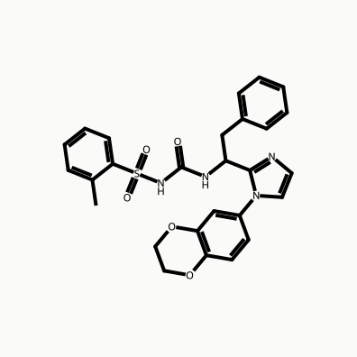 Cc1ccccc1S(=O)(=O)NC(=O)NC(Cc1ccccc1)c1nccn1-c1ccc2c(c1)OCCO2